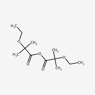 CCOC(C)(C)C(=O)OC(=O)C(C)(C)OCC